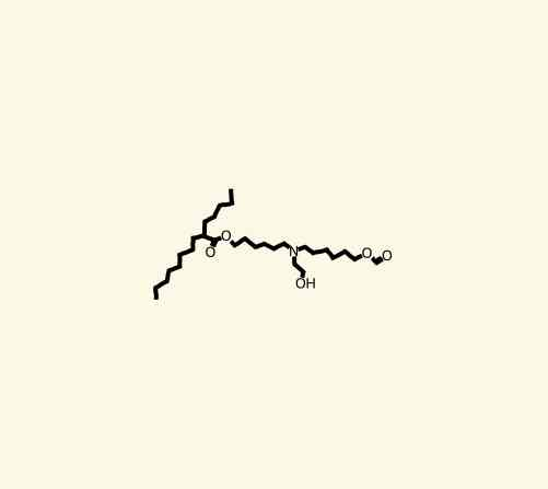 CCCCCCCCC(CCCCC)C(=O)OCCCCCCN(CCO)CCCCCCOC=O